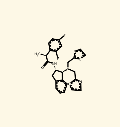 C[C@H](C(=O)N[C@H]1Cc2ccccc2[C@@H]1N(Cc1ncco1)Cc1ncco1)c1ccc(F)cc1F